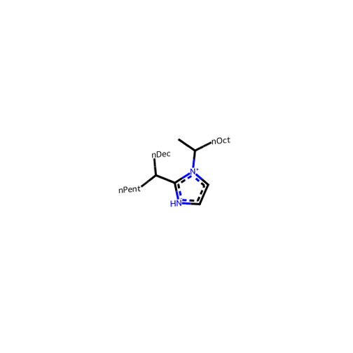 CCCCCCCCCCC(CCCCC)c1[nH]cc[n+]1C(C)CCCCCCCC